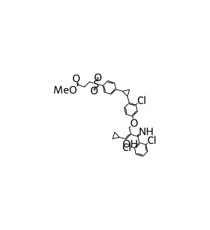 COC(=O)CCS(=O)(=O)c1ccc(C2CC2c2ccc(OC/C(C(=N)c3c(Cl)cccc3Cl)=C(/O)C3CC3)cc2Cl)cc1